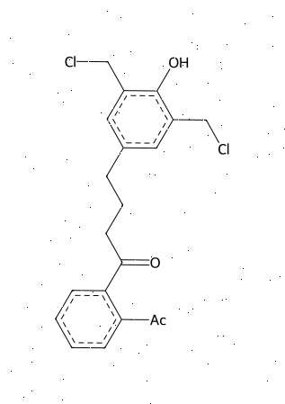 CC(=O)c1ccccc1C(=O)CCCc1cc(CCl)c(O)c(CCl)c1